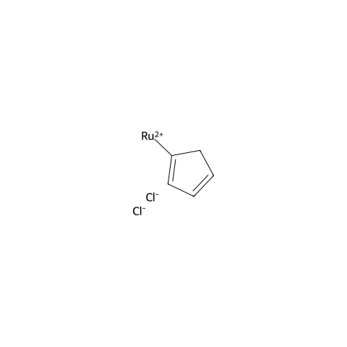 [Cl-].[Cl-].[Ru+2][C]1=CC=CC1